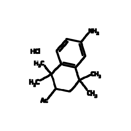 CC(=O)C1CC(C)(C)c2cc(N)ccc2C1(C)C.Cl